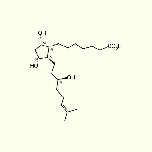 CC(C)=CCC[C@H](O)CC[C@@H]1[C@@H](CCCCCCC(=O)O)[C@@H](O)C[C@H]1O